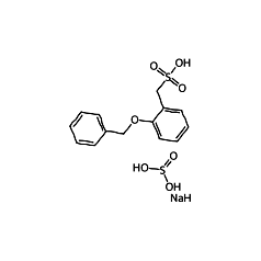 O=S(=O)(O)Cc1ccccc1OCc1ccccc1.O=S(O)O.[NaH]